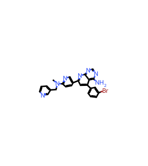 CN(Cc1cccnc1)c1ccc(-c2cc(-c3cccc(Br)c3)c3c(N)ncnc3n2)cn1